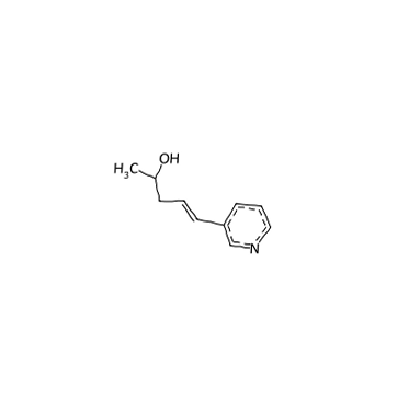 CC(O)CC=Cc1cccnc1